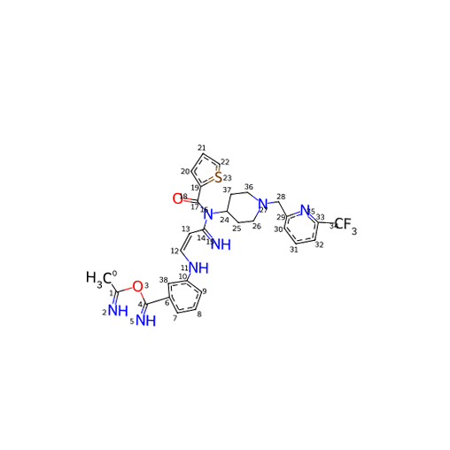 CC(=N)OC(=N)c1cccc(N/C=C\C(=N)N(C(=O)c2cccs2)C2CCN(Cc3cccc(C(F)(F)F)n3)CC2)c1